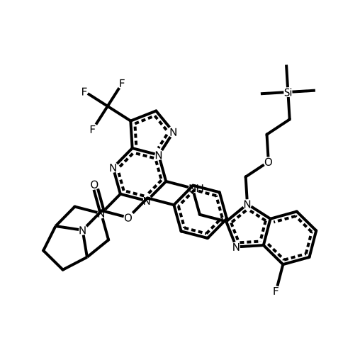 C[Si](C)(C)CCOCn1c(CNc2nc(N3CC4CCC(C3)N4C(=O)OCc3ccccc3)nc3c(C(F)(F)F)cnn23)nc2c(F)cccc21